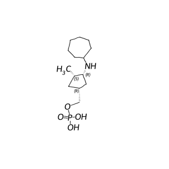 C[C@H]1C[C@@H](COP(=O)(O)O)C[C@H]1NC1CCCCCC1